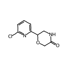 O=C1COC(c2cccc(Cl)n2)CN1